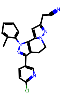 Cc1ccccc1-n1nc(-c2ccc(Cl)nc2)c2c1-c1cc(CC#N)nn1CC2